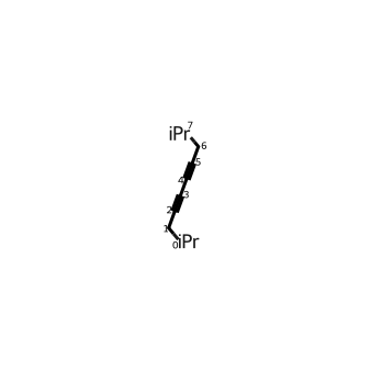 CC(C)CC#CC#CCC(C)C